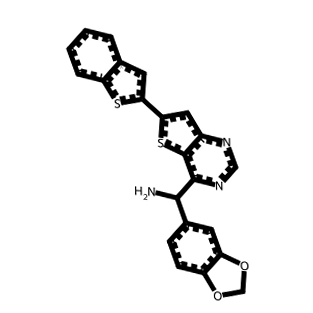 NC(c1ccc2c(c1)OCO2)c1ncnc2cc(-c3cc4ccccc4s3)sc12